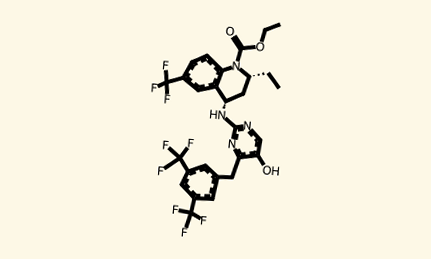 CCOC(=O)N1c2ccc(C(F)(F)F)cc2[C@@H](Nc2ncc(O)c(Cc3cc(C(F)(F)F)cc(C(F)(F)F)c3)n2)C[C@H]1CC